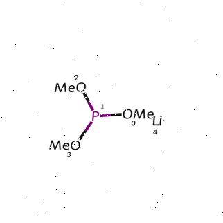 COP(OC)OC.[Li]